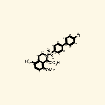 COc1ccc(C)c2c1C(C(=O)O)N(S(=O)(=O)c1ccc(-c3ccc(Cl)cc3)cc1)CC2